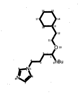 CCCCC(CCCn1ccnc1)OCCC1CCCCC1